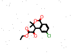 CCOC(=O)C(=O)C1c2cc(Cl)ccc2C(=O)OC1(C)C